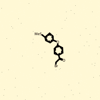 CSc1ccc(Oc2ccc(C(=O)CBr)cc2)cc1